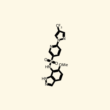 COc1ccc2cn[nH]c2c1NS(=O)(=O)c1ccc(-n2cc(C(F)(F)F)cn2)nc1